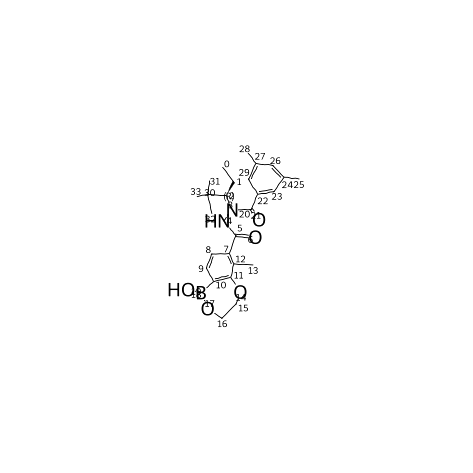 CC[C@@H](N(NC(=O)c1ccc2c(c1C)OCCOB2O)C(=O)c1cc(C)cc(C)c1)C(C)(C)C